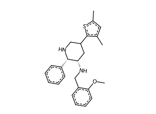 COc1ccccc1CN[C@H]1CC(c2sc(C)cc2C)CN[C@H]1c1ccccc1